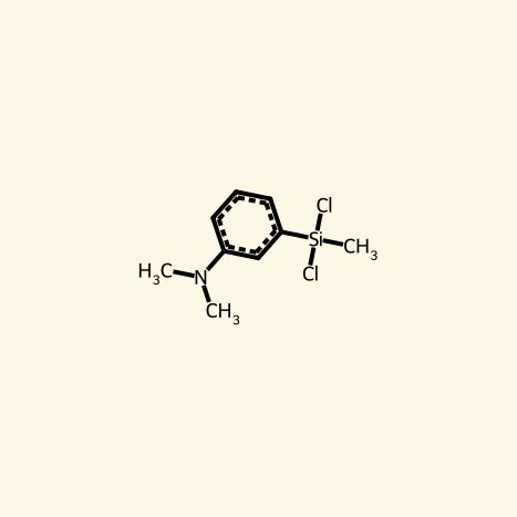 CN(C)c1cccc([Si](C)(Cl)Cl)c1